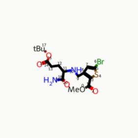 COC(=O)c1sc(Br)cc1CNC(CCC(=O)OC(C)(C)C)C(N)=O